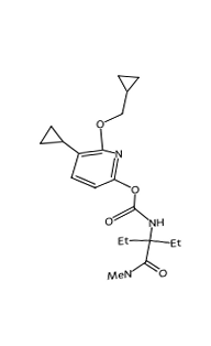 CCC(CC)(NC(=O)Oc1ccc(C2CC2)c(OCC2CC2)n1)C(=O)NC